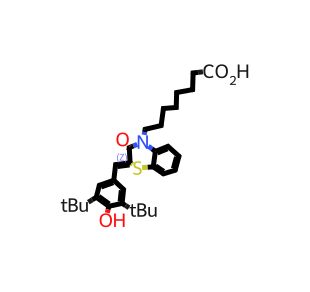 CC(C)(C)c1cc(/C=C2\Sc3ccccc3N(CCCCCCCC(=O)O)C2=O)cc(C(C)(C)C)c1O